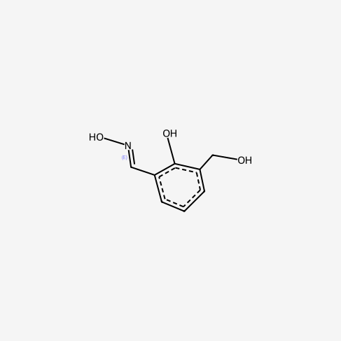 OCc1cccc(/C=N/O)c1O